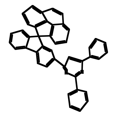 c1ccc(-c2cc(-c3ccc4c(c3)C3(c5ccccc5-4)c4cccc5ccc6cccc3c6c45)nc(-c3ccccc3)n2)cc1